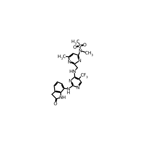 Cc1cc(N(C)S(C)(=O)=O)nc(CNc2nc(Nc3cccc4c3NC(=O)C4)ncc2C(F)(F)F)n1